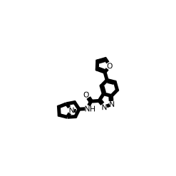 CN1C2CCC1CC(NC(=O)C1=NN=C3CC=C(c4ccco4)C=C31)C2